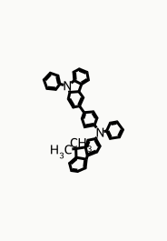 CC1(C)c2ccccc2-c2ccc(N(c3ccccc3)c3ccc(C4=CC5c6ccccc6N(c6ccccc6)C5C=C4)cc3)cc21